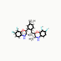 C[C@@H]1Nc2ccc(F)c(F)c2OC1Cc1ccc(S(=O)(=O)O)cc1C1Oc2c(ccc(F)c2F)N[C@H]1C